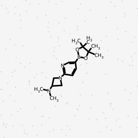 CN(C)C1CN(c2ccc(B3OC(C)(C)C(C)(C)O3)cn2)C1